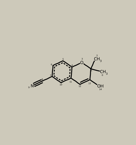 CC1(C)Oc2ccc(C#N)cc2C=C1O